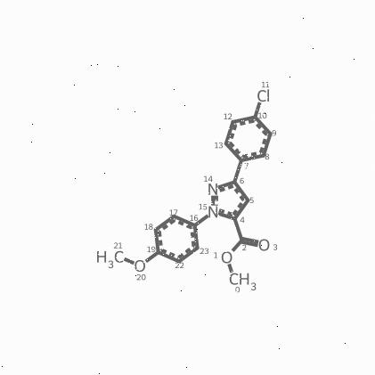 COC(=O)c1cc(-c2ccc(Cl)cc2)nn1-c1ccc(OC)cc1